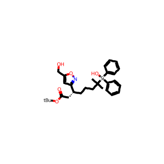 CC(C)(C)OC(=O)C[C@@H](CCCC(C)(C)[Si](O)(c1ccccc1)c1ccccc1)c1cc(CO)on1